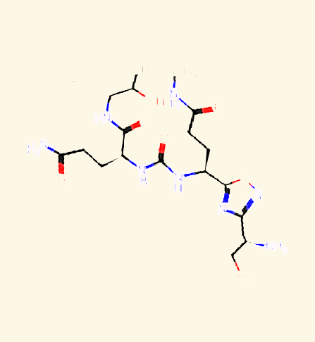 CCCCCCNC(=O)CC[C@H](NC(=O)N[C@@H](CCC(N)=O)C(=O)N[C@H](C(=O)O)C(C)O)c1nc([C@@H](N)CO)no1